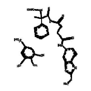 CCCCSc1nc2ccc(NC(=O)CCC(=O)OC(=O)C(C)(NC=O)c3ccccc3)cc2s1.O=C(O)c1cc(O)c(O)c(O)c1